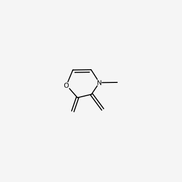 C=C1OC=CN(C)C1=C